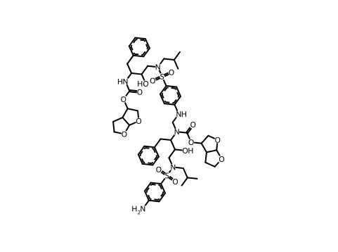 CC(C)CN(CC(O)C(Cc1ccccc1)NC(=O)OC1COC2OCCC12)S(=O)(=O)c1ccc(NCN(C(=O)OC2COC3OCCC23)C(Cc2ccccc2)C(O)CN(CC(C)C)S(=O)(=O)c2ccc(N)cc2)cc1